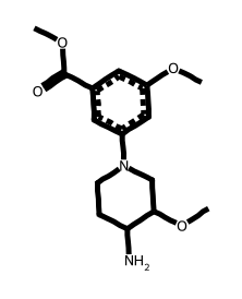 COC(=O)c1cc(OC)cc(N2CCC(N)C(OC)C2)c1